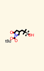 CC(C)(C)OC(=O)N1CC(CC(C)(C)[Si](C)(C)O)CC1=O